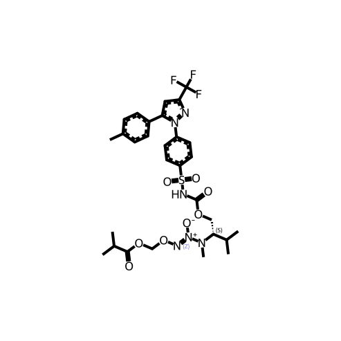 Cc1ccc(-c2cc(C(F)(F)F)nn2-c2ccc(S(=O)(=O)NC(=O)OC[C@H](C(C)C)N(C)/[N+]([O-])=N/OCOC(=O)C(C)C)cc2)cc1